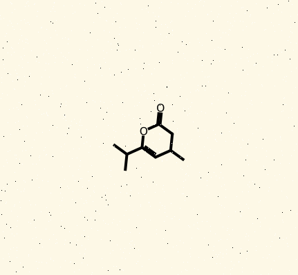 CC1C=C(C(C)C)OC(=O)C1